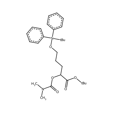 CN(C)C(=O)OC(CCCO[Si](c1ccccc1)(c1ccccc1)C(C)(C)C)C(=O)OC(C)(C)C